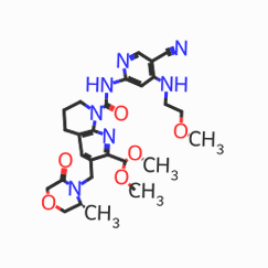 COCCNc1cc(NC(=O)N2CCCc3cc(CN4C(=O)COC[C@H]4C)c(C(OC)OC)nc32)ncc1C#N